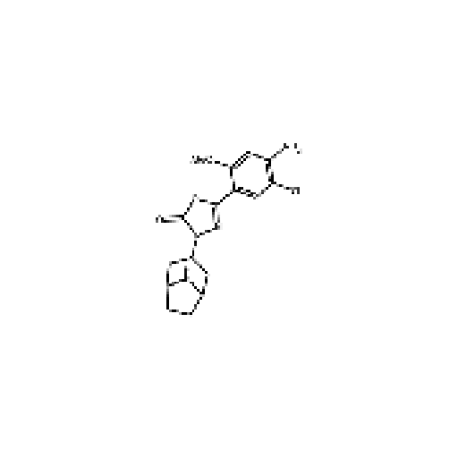 COc1cc(N)c(Cl)cc1-c1nn(C2CC3CCC(C2)N3)c(=O)o1